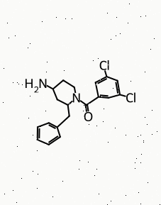 NC1CCN(C(=O)c2cc(Cl)cc(Cl)c2)C(Cc2ccccc2)C1